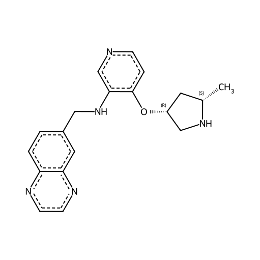 C[C@H]1C[C@@H](Oc2ccncc2NCc2ccc3nccnc3c2)CN1